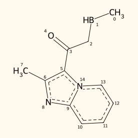 CBCC(=O)c1c(C)nc2ccccn12